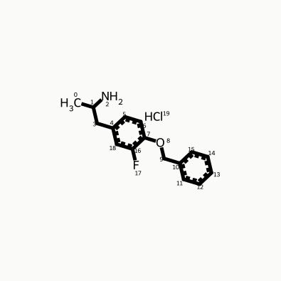 CC(N)Cc1ccc(OCc2ccccc2)c(F)c1.Cl